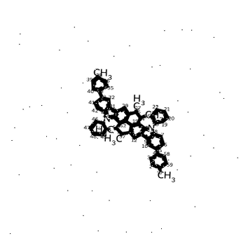 Cc1ccc(-c2ccc3c(c2)c2cc4c5c(c2n3-c2ccccc2)C(C)C(C)c2cc3c6cc(-c7ccc(C)cc7)ccc6n(C6C=CC=CC6)c3c(c2-5)C(C)C4C)cc1